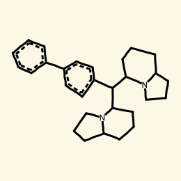 c1ccc(-c2ccc(C(C3CCCC4CCCN43)C3CCCC4CCCN43)cc2)cc1